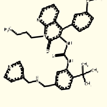 CCCCn1c(=O)c(NC(=O)Nc2cc(CNCc3ccncc3)ccc2C(C)(C)C)c(-c2cccc(OC)c2)c2cccnc21